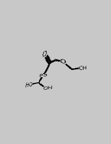 O=[C](OCO)[Pa][CH](O)O